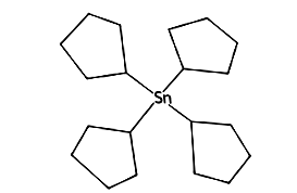 C1CC[CH]([Sn]([CH]2CCCC2)([CH]2CCCC2)[CH]2CCCC2)C1